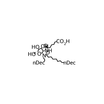 CCCCCCCCCCCCCCCCCC(=O)N(CCCCCCCCCCCC)[C@@H]1O[C@H](CO)[C@@H](O)[C@H](O)[C@H]1NC(=O)CCCCC(=O)O